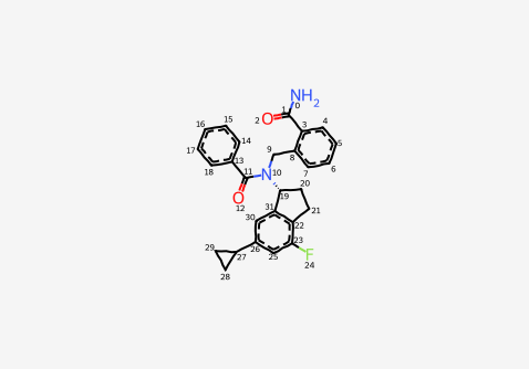 NC(=O)c1ccccc1CN(C(=O)c1ccccc1)[C@@H]1CCc2c(F)cc(C3CC3)cc21